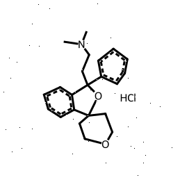 CN(C)CCC1(c2ccccc2)OC2(CCOCC2)c2ccccc21.Cl